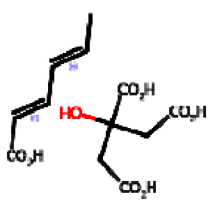 C/C=C/C=C/C(=O)O.O=C(O)CC(O)(CC(=O)O)C(=O)O